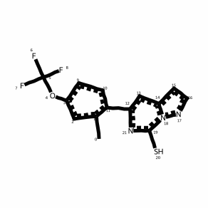 Cc1cc(OC(F)(F)F)ccc1-c1cc2ccnn2c(S)n1